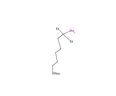 CCCCCCCCCCCC(P)(CC)CC